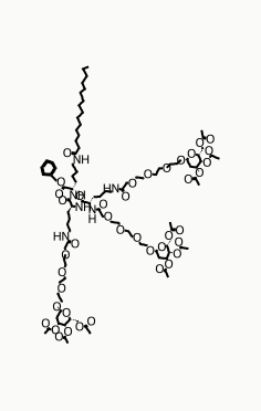 CCCCCCCCCCCCCCCC(=O)NCCCC[C@H](NC(=O)[C@H](CCCCNC(=O)COCCOCCOCCO[C@H]1C[C@@H](OC(C)=O)[C@@H](OC(C)=O)[C@@H](COC(C)=O)O1)NC(=O)[C@H](CCCCNC(=O)COCCOCCOCCO[C@H]1C[C@@H](OC(C)=O)[C@@H](OC(C)=O)[C@@H](COC(C)=O)O1)NC(=O)COCCOCCOCCO[C@H]1C[C@@H](OC(C)=O)[C@@H](OC(C)=O)[C@@H](COC(C)=O)O1)C(=O)OCc1ccccc1